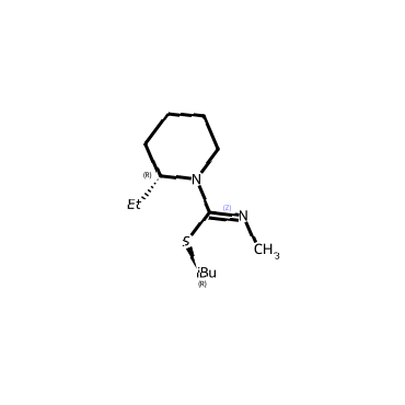 CC[C@@H]1CCCCN1/C(=N/C)S[C@H](C)CC